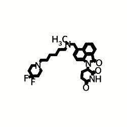 CN(CCCCCCN1CCC(F)(F)CC1)Cc1ccc2c3c(cccc13)C(=O)N2C1CCC(=O)NC1=O